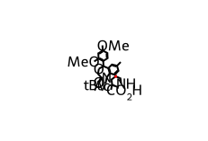 COc1ccc(C2OCC(=O)[N+](CC(C)(C)C)([C@@H]3CCNC[C@@]3(C(C)=O)C(=O)O)c3ccc(C)cc32)c(OC)c1